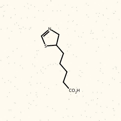 O=C(O)CCCCC1CN=CS1